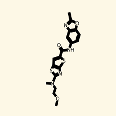 COCCN(C)c1nc2sc(C(=O)Nc3ccc4oc(C)nc4c3)cc2s1